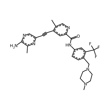 Cc1cnc(C(=O)Nc2ccc(CN3CCN(C)CC3)c(C(F)(F)F)c2)cc1C#Cc1cnc(N)c(C)n1